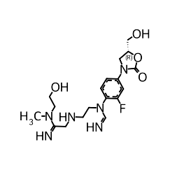 CN(CCO)C(=N)CNCCN(C=N)c1ccc(N2C[C@H](CO)OC2=O)cc1F